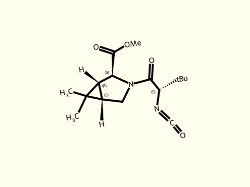 COC(=O)[C@@H]1[C@@H]2[C@H](CN1C(=O)[C@@H](N=C=O)C(C)(C)C)C2(C)C